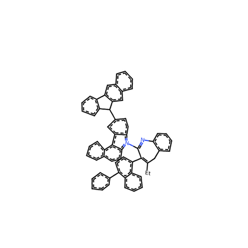 CCC1=C(c2ccc(-c3ccccc3)c3ccccc23)C(n2c3ccc(C4c5ccccc5-c5cc6ccccc6cc54)cc3c3c4ccccc4ccc32)=Nc2ccccc2C1